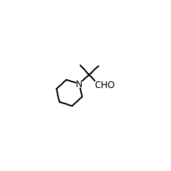 CC(C)(C=O)N1CCCCC1